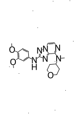 COc1ccc(Nc2nc3c(N(C)C4CCOCC4)nccn3n2)cc1OC